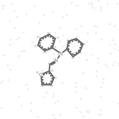 C(=N\N(c1ccccc1)c1ccccc1)/c1ccco1